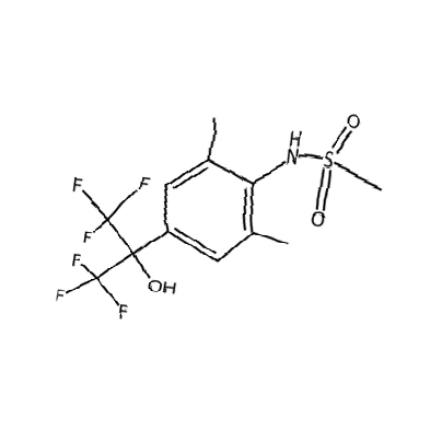 Cc1cc(C(O)(C(F)(F)F)C(F)(F)F)cc(C)c1NS(C)(=O)=O